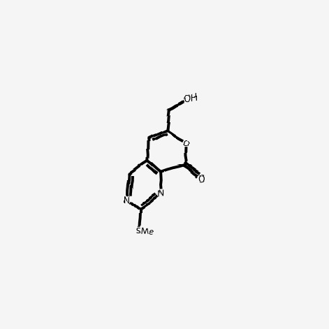 CSc1ncc2cc(CO)oc(=O)c2n1